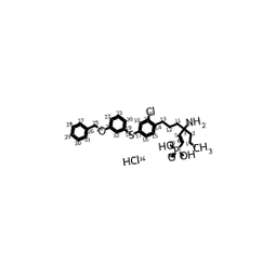 CCCC(N)(C=CP(=O)(O)O)CCCc1ccc(Sc2cccc(OCc3ccccc3)c2)cc1Cl.Cl